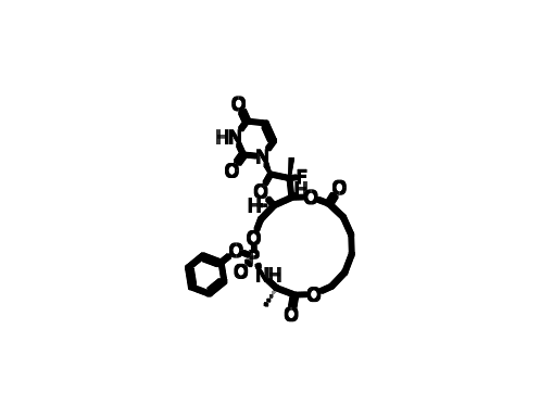 C[C@@H]1NP(=O)(Oc2ccccc2)OC[C@H]2O[C@@H](n3ccc(=O)[nH]c3=O)[C@](C)(F)[C@@H]2OC(=O)CCCCCOC1=O